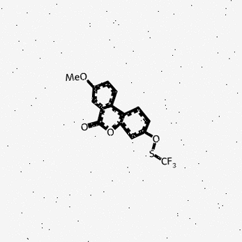 COc1ccc2c(c1)c(=O)oc1cc(OSC(F)(F)F)ccc12